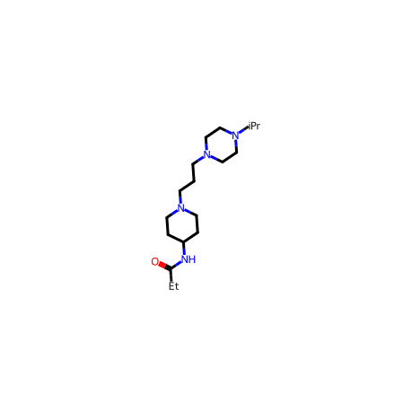 CCC(=O)NC1CCN(CCCN2CCN(C(C)C)CC2)CC1